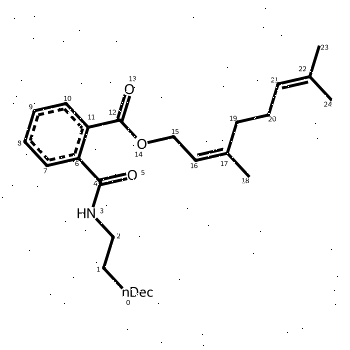 CCCCCCCCCCCCNC(=O)c1ccccc1C(=O)OCC=C(C)CCC=C(C)C